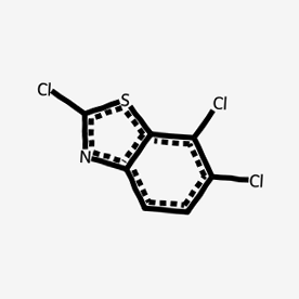 Clc1nc2ccc(Cl)c(Cl)c2s1